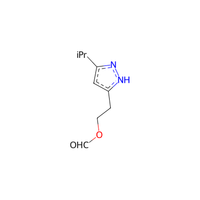 CC(C)c1cc(CCOC=O)[nH]n1